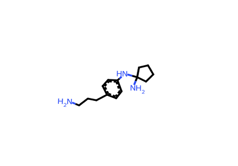 NCCCc1ccc(NC2(N)CCCC2)cc1